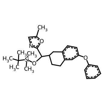 Cc1cnc(C(O[Si](C)(C)C(C)(C)C)C2CCc3cc(Oc4ccccc4)ccc3C2)o1